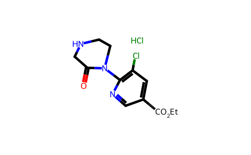 CCOC(=O)c1cnc(N2CCNCC2=O)c(Cl)c1.Cl